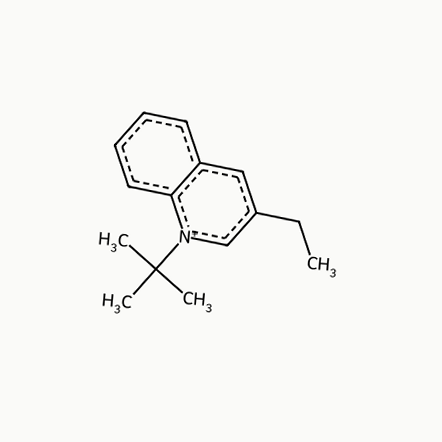 CCc1cc2ccccc2[n+](C(C)(C)C)c1